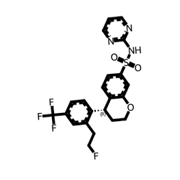 O=S(=O)(Nc1ncccn1)c1ccc2c(c1)OCC[C@@H]2c1ccc(C(F)(F)F)cc1CCF